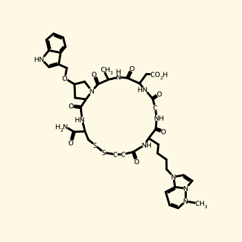 CC1NC(=O)C(CC(=O)O)NC(=O)CNC(=O)C(CCCCN2C=CN3C2=CC=CN3C)NC(=O)CCSSCC(C(N)=O)NC(=O)C2CC(OCc3c[nH]c4ccccc34)CN2C1=O